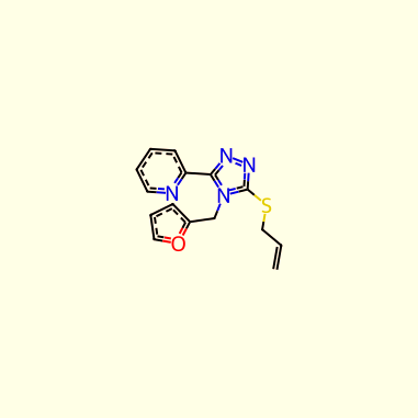 C=CCSc1nnc(-c2ccccn2)n1Cc1ccco1